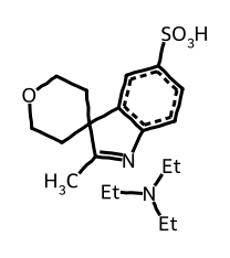 CC1=Nc2ccc(S(=O)(=O)O)cc2C12CCOCC2.CCN(CC)CC